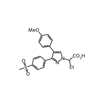 CCC(C(=O)O)n1cc(-c2ccc(OC)cc2)c(-c2ccc(S(C)(=O)=O)cc2)n1